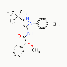 COC(C(=O)Nc1cc(C(C)(C)C)nn1-c1ccc(C)cc1)c1ccccc1